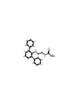 CCC(C)C(=O)SCCOc1c(-c2ccccc2)cccc1-c1ccccc1